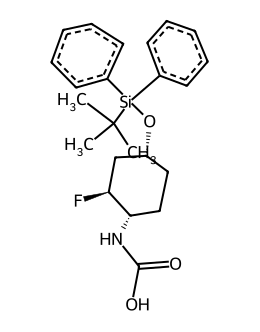 CC(C)(C)[Si](O[C@@H]1CC[C@H](NC(=O)O)[C@@H](F)C1)(c1ccccc1)c1ccccc1